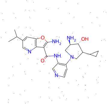 CC(C)c1cnc2c(C(=O)Nc3cnccc3N3CC(C4CC4)[C@@H](O)[C@H](N)C3)c(N)oc2c1